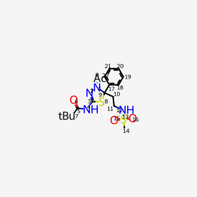 CC(=O)N1N=C(NC(=O)C(C)(C)C)SC1(CCNS(C)(=O)=O)c1ccccc1